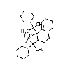 CC(C)(C1CCCCC1)C1CCC2CCCCC2C1(C)C(C)(C)C1CCCCC1